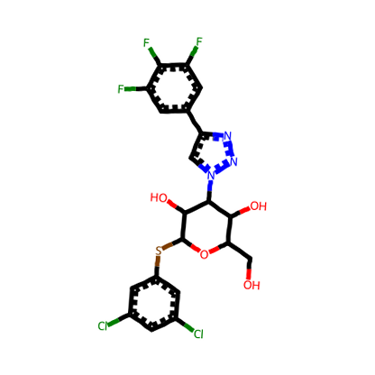 OCC1OC(Sc2cc(Cl)cc(Cl)c2)C(O)C(n2cc(-c3cc(F)c(F)c(F)c3)nn2)C1O